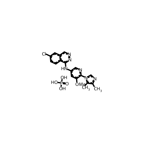 COc1cc(Nc2nncc3cc(Cl)ccc23)cnc1-n1cnc(C)c1C.O=P(O)(O)O